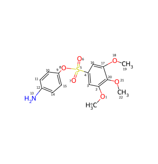 COc1cc(S(=O)(=O)Oc2ccc(N)cc2)cc(OC)c1OC